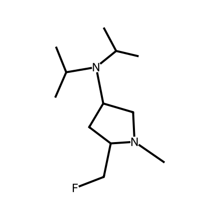 CC(C)N(C(C)C)C1CC(CF)N(C)C1